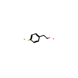 COC[CH]c1ccc(SC)cc1